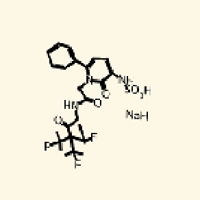 CC(C)(F)C(C(=O)CNC(=O)Cn1c(-c2ccccc2)ccc(NS(=O)(=O)O)c1=O)(C(C)(C)F)C(C)(C)F.[NaH]